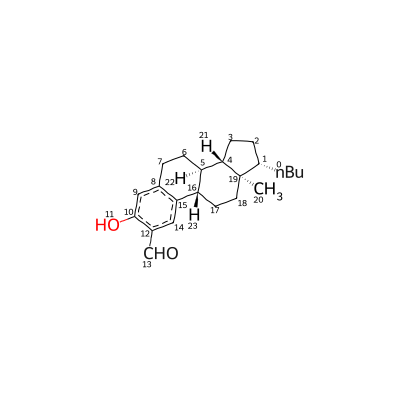 CCCC[C@H]1CC[C@H]2[C@@H]3CCc4cc(O)c(C=O)cc4[C@H]3CC[C@]12C